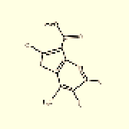 COC(=O)c1c(Cl)sc2c(C(F)(F)F)c(Cl)c(Cl)nc12